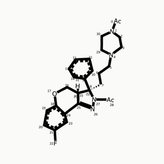 CC(=O)N1CCN(CCC[C@@]2(c3ccccc3)[C@H]3COc4ccc(F)cc4C3=NN2C(C)=O)CC1